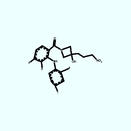 O=C(c1ccc(F)c(F)c1Nc1ccc(I)cc1F)N1CC(O)(CCC[N+](=O)[O-])C1